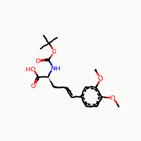 COc1ccc(C=CC[C@H](NC(=O)OC(C)(C)C)C(=O)O)cc1OC